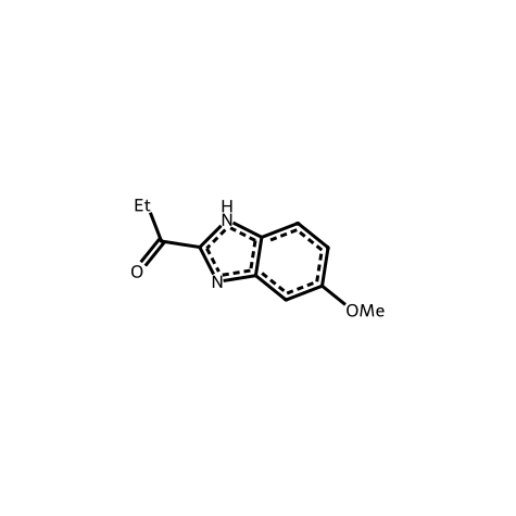 CCC(=O)c1nc2cc(OC)ccc2[nH]1